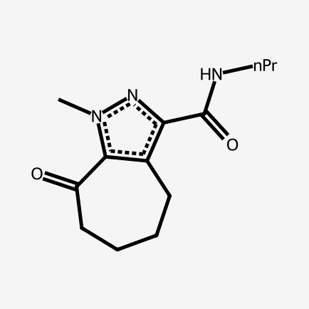 CCCNC(=O)c1nn(C)c2c1CCCCC2=O